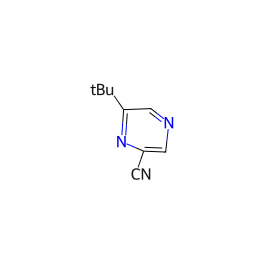 CC(C)(C)c1cncc(C#N)n1